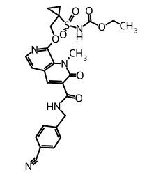 CCOC(=O)NS(=O)(=O)C1(COc2nccc3cc(C(=O)NCc4ccc(C#N)cc4)c(=O)n(C)c23)CC1